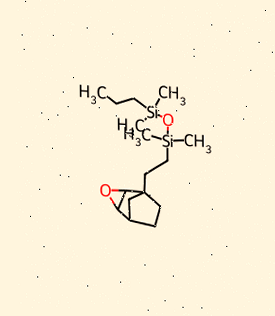 CCC[Si](C)(C)O[Si](C)(C)CCC12CCC(C1)C1OC12